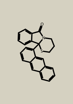 O=C1c2ccccc2C2(c3cccc4cc5ccccc5cc34)SCCCN12